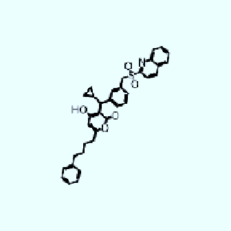 O=c1oc(CCCCc2ccccc2)cc(O)c1C(c1cccc(CS(=O)(=O)c2ccc3ccccc3n2)c1)C1CC1